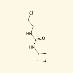 O=C(NCCCl)NC1CCC1